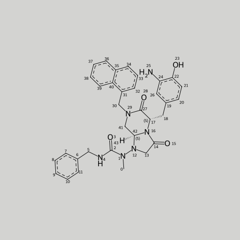 CN(C(=O)NCc1ccccc1)N1CC(=O)N2[C@@H](Cc3ccc(O)c(N)c3)C(=O)N(Cc3cccc4ccccc34)C[C@@H]21